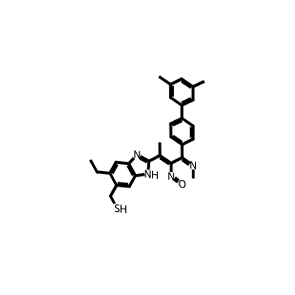 CCc1cc2nc(/C(C)=C(N=O)/C(=N\C)c3ccc(-c4cc(C)cc(C)c4)cc3)[nH]c2cc1CS